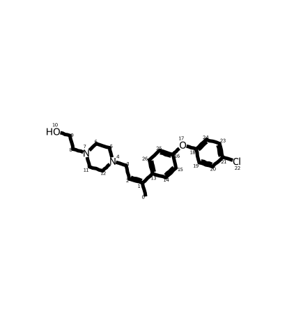 CC(=CCN1CCN(CCO)CC1)c1ccc(Oc2ccc(Cl)cc2)cc1